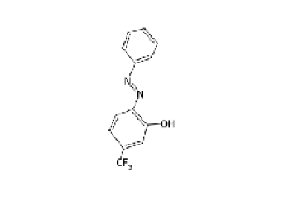 Oc1cc(C(F)(F)F)ccc1N=Nc1ccccc1